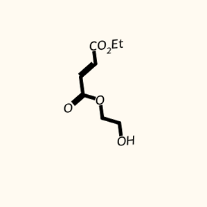 CCOC(=O)C=CC(=O)OCCO